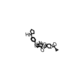 O=C(C1CC1)N1CCC(O)(Cn2cnc3c(cnn3-c3ccc(NC4CCCC4)cc3)c2=O)CC1